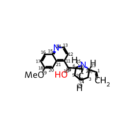 C=C[C@@H]1C[C@H]2CCN1[C@H]([C@H](O)c1ccnc3ccc(OC)cc13)C2